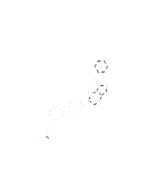 Cc1nn([C@H](C)c2ccc(Cl)cc2Cl)c2nc(N3CC[C@@H](N4CCC[C@@H](CCC(=O)O)C4)[C@@H](C)C3)cnc12